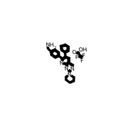 NCc1ccc(-c2nc3nc(N4CCCCC4)ncc3cc2-c2ccccc2)cc1.O=C(O)C(F)(F)F